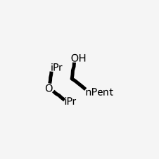 CC(C)OC(C)C.CCCCCCO